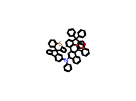 c1ccc(N(c2ccc3c(c2)C2(c4ccccc4Sc4ccccc42)c2ccccc2-3)c2cc(-c3cccc4c3-c3ccccc3C4(c3ccccc3)c3ccccc3)c(-c3cccc4ccccc34)c3ccccc23)cc1